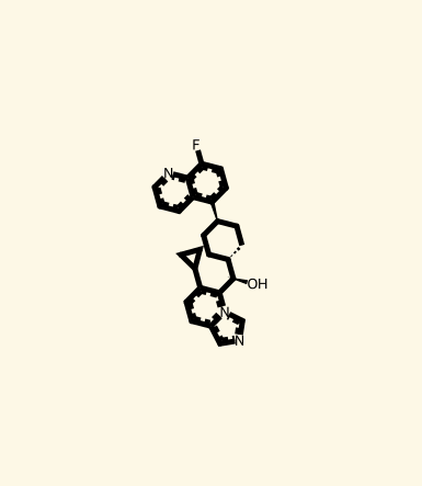 O[C@@H](c1c(C2CC2)ccc2cncn12)[C@H]1CC[C@H](c2ccc(F)c3ncccc32)CC1